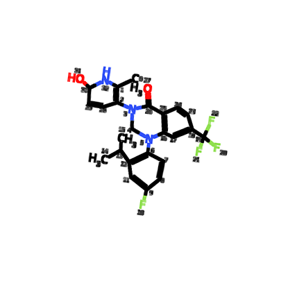 CC1=C(N2CN(c3ccc(F)cc3C(C)C)c3cc(C(F)(F)F)ccc3C2=O)C=CC(O)N1